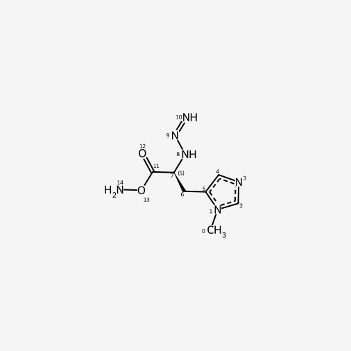 Cn1cncc1C[C@H](NN=N)C(=O)ON